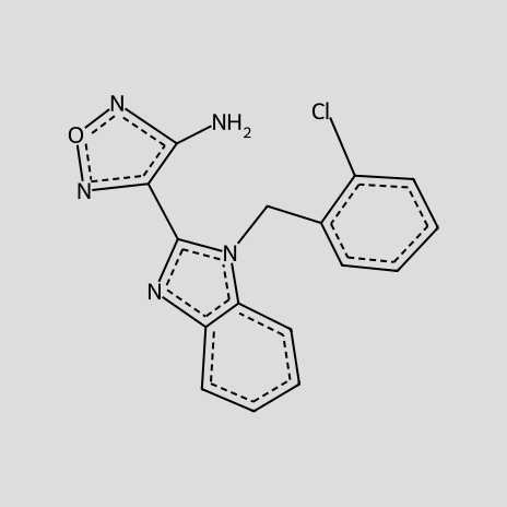 Nc1nonc1-c1nc2ccccc2n1Cc1ccccc1Cl